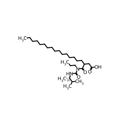 CCCCCCCCCCCCCCCCC(CC(=O)O)C(=O)N(CCC)C(=O)N[C@@H](C)C(C)C